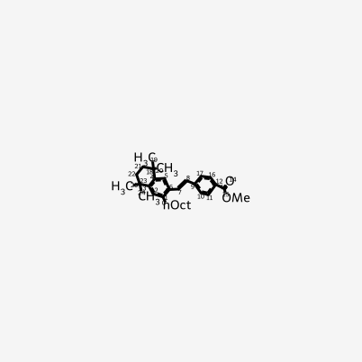 CCCCCCCCc1cc2c(cc1/C=C/c1ccc(C(=O)OC)cc1)C(C)(C)CCC2(C)C